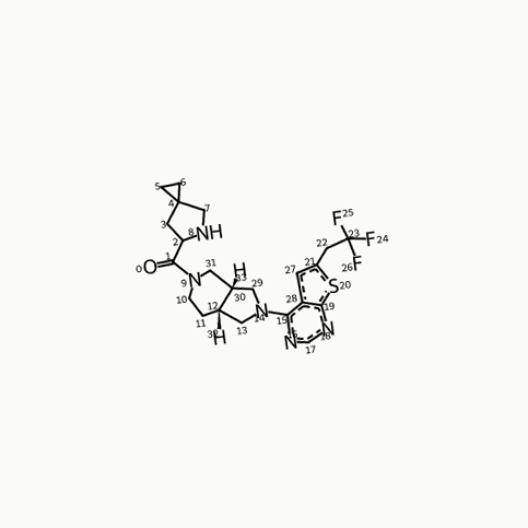 O=C(C1CC2(CC2)CN1)N1CC[C@H]2CN(c3ncnc4sc(CC(F)(F)F)cc34)C[C@H]2C1